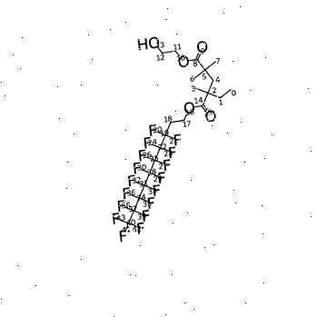 CCC(C)(CC(C)(C)C(=O)OCCO)C(=O)OCCC(F)(F)C(F)(F)C(F)(F)C(F)(F)C(F)(F)C(F)(F)C(F)(F)C(F)(F)F